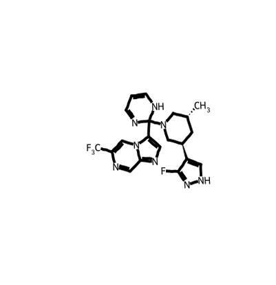 C[C@@H]1C[C@@H](c2c[nH]nc2F)CN(C2(c3cnc4cnc(C(F)(F)F)cn34)N=CC=CN2)C1